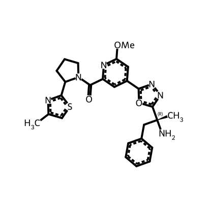 COc1cc(-c2nnc([C@](C)(N)Cc3ccccc3)o2)cc(C(=O)N2CCCC2c2nc(C)cs2)n1